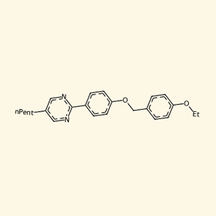 CCCCCc1cnc(-c2ccc(OCc3ccc(OCC)cc3)cc2)nc1